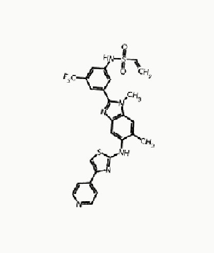 C=CS(=O)(=O)Nc1cc(-c2nc3cc(Nc4nc(-c5ccncc5)cs4)c(C)cc3n2C)cc(C(F)(F)F)c1